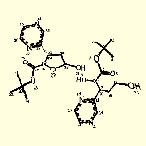 CC(C)(C)OC(=O)N(O)[C@@H](CCO)c1cnccn1.CC(C)(C)OC(=O)N1OC(O)C[C@H]1c1cnccn1